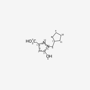 O=C(O)c1cc(O)n(CC2CCCC2)n1